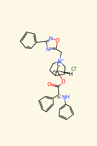 O=C(O[C@H]1C[N+]2(Cc3nc(-c4ccccc4)no3)CCC1CC2)[C@H](Nc1ccccc1)c1ccccc1.[Cl-]